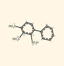 O=S(=O)(O)c1ccc(-c2ccccc2)c(S(=O)(=O)O)c1S(=O)(=O)O